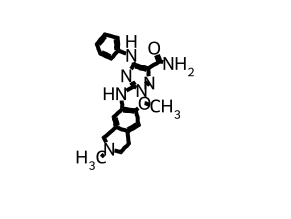 COc1cc2c(cc1Nc1nnc(C(N)=O)c(Nc3ccccc3)n1)CN(C)CC2